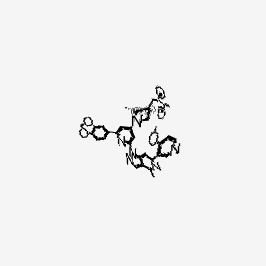 COc1ccncc1-c1cc2c(cnn2-c2cc(N3C[C@H](CS(C)(=O)=O)[C@H]3C)cc(-c3ccc4c(c3)OCO4)n2)c(C)n1